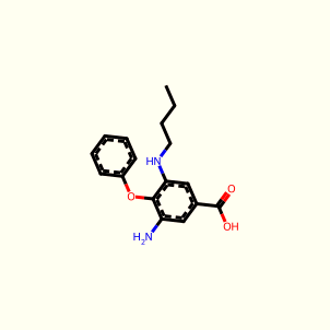 CCCCNc1cc(C(=O)O)cc(N)c1Oc1ccccc1